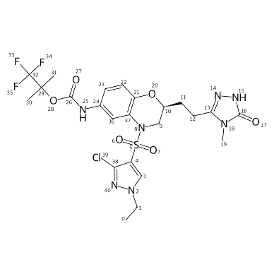 CCn1cc(S(=O)(=O)N2C[C@H](CCc3n[nH]c(=O)n3C)Oc3ccc(NC(=O)OC(C)(C)C(F)(F)F)cc32)c(Cl)n1